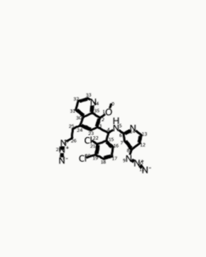 COc1c(C(Nc2cc(N=[N+]=[N-])ccn2)c2cccc(Cl)c2Cl)cc(CCN=[N+]=[N-])c2cccnc12